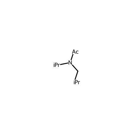 CC(=O)N(CC(C)C)C(C)C